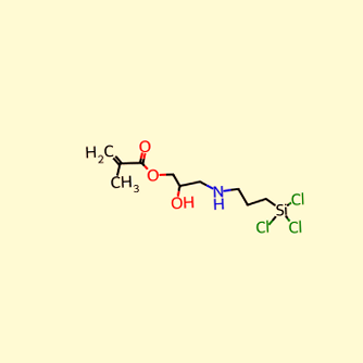 C=C(C)C(=O)OCC(O)CNCCC[Si](Cl)(Cl)Cl